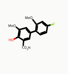 COc1cc(F)ccc1-c1cc(OC)c(O)c(C(=O)O)c1